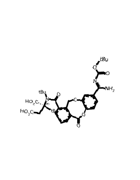 CC(C)(C)OC(=O)N=C(N)c1ccc2c(c1)CCc1c(cccc1C(=O)N(C(C)(C)C)[C@@](CC(=O)O)(C(=O)O)C(C)(C)C)C(=O)O2